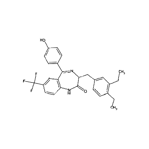 CCc1ccc(CC2N=C(c3ccc(O)cc3)c3cc(C(F)(F)F)ccc3NC2=O)cc1CC